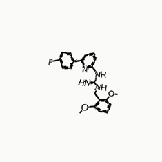 COc1cccc(OC)c1CNC(=N)Nc1cccc(-c2ccc(F)cc2)n1